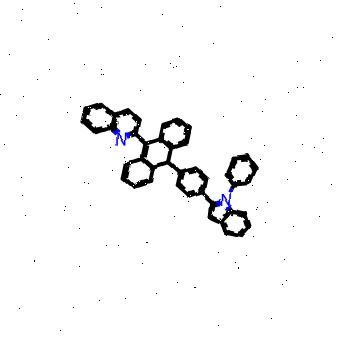 C1=CC2=C(c3ccc4ccccc4n3)c3ccccc3C(c3ccc(-c4cc5ccccc5n4-c4ccccc4)cc3)C2C=C1